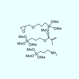 C=C(C)C(=O)OCCC[Si](OC)(OC)OC.CO[Si](CCCN)(OC)OC.CO[Si](CCCOCC1CO1)(OC)OC